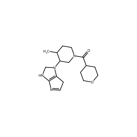 CC1CCN(C(=O)C2CCOCC2)CC1N1CNC2=C1CC=N2